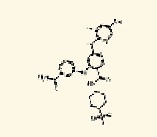 CS(=O)(=O)[C@H]1CC[C@H](NC(=O)c2cnc(Nc3ncc(C#N)cc3F)cc2Nc2cccc(C(N)=O)c2)CC1